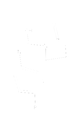 CS(=Nc1ccc(Br)cc1)N1CCCC1=O